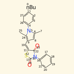 CCCCc1ccc(-n2c(C)cc(C=C3SC(=O)N(c4ccccc4)C3=O)c2C)cc1